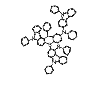 c1ccc(C2c3cc(N(c4ccccc4)c4ccc5c(c4)c4ccccc4n5-c4ccccc4)cc4c3B(c3ccc5c(c32)c2ccccc2n5-c2ccccc2)c2ccc3c(c2N4c2ccccc2)c2ccccc2n3-c2ccccc2)cc1